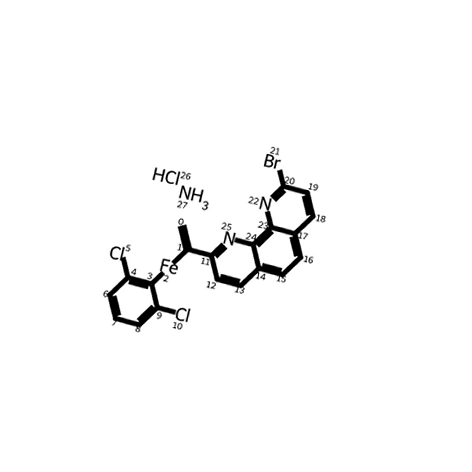 C=[C]([Fe][c]1c(Cl)cccc1Cl)c1ccc2ccc3ccc(Br)nc3c2n1.Cl.N